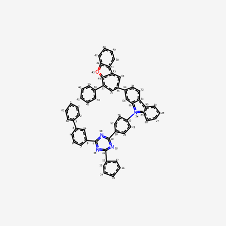 c1ccc(-c2cccc(-c3nc(-c4ccccc4)nc(-c4ccc(-n5c6ccccc6c6ccc(-c7cc(-c8ccccc8)c8oc9ccccc9c8c7)cc65)cc4)n3)c2)cc1